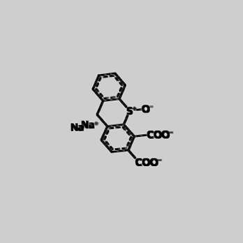 O=C([O-])c1ccc2c(c1C(=O)[O-])[S+]([O-])c1ccccc1C2.[Na+].[Na+]